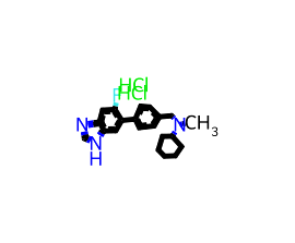 CN(Cc1ccc(-c2cc3[nH]cnc3cc2F)cc1)C1CCCCC1.Cl.Cl